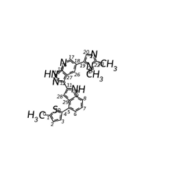 Cc1ccc(-c2cccc3[nH]c(-c4n[nH]c5ncc(-c6cnc(C)n6C)cc45)cc23)s1